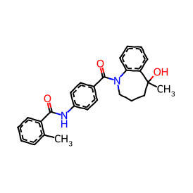 Cc1ccccc1C(=O)Nc1ccc(C(=O)N2CCCC(C)(O)c3ccccc32)cc1